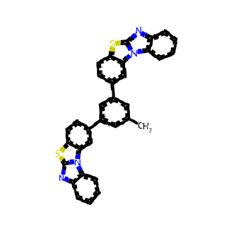 Cc1cc(-c2ccc3sc4nc5ccccc5n4c3c2)cc(-c2ccc3sc4nc5ccccc5n4c3c2)c1